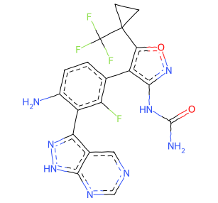 NC(=O)Nc1noc(C2(C(F)(F)F)CC2)c1-c1ccc(N)c(-c2n[nH]c3ncncc23)c1F